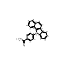 CC(=O)c1ccc(-n2c3ccccc3c3ccc4ccccc4c32)cc1